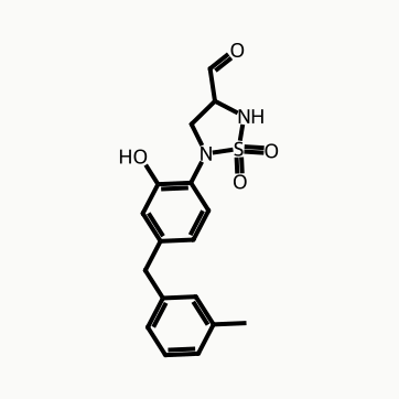 Cc1cccc(Cc2ccc(N3CC(C=O)NS3(=O)=O)c(O)c2)c1